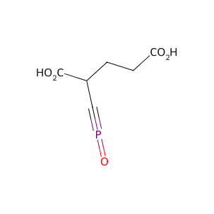 O=P#CC(CCC(=O)O)C(=O)O